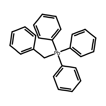 c1ccc([CH2][Pb]([c]2ccccc2)([c]2ccccc2)[c]2ccccc2)cc1